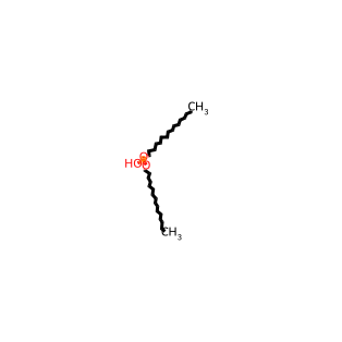 CCCCCCCCCCCCCCCCOP(O)OCCCCCCCCCCCCCCCC